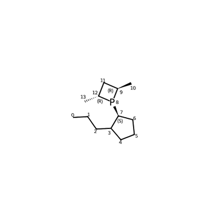 CCCC1CCC[C@@H]1P1[C@H](C)C[C@H]1C